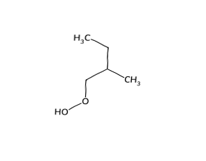 CCC(C)COO